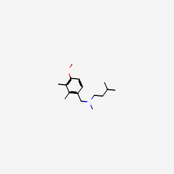 COc1ccc(CN(C)CCC(C)C)c(C)c1C